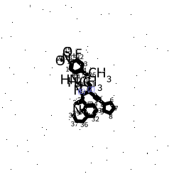 C/C=C(C#CC1CCCC1)\C(=N/C(C)Nc1cc([N+](=O)[O-])c(F)cc1CC)c1cn2c3c(cccc13)CCC2